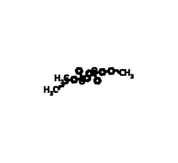 CCCCCCC(C)c1ccc(-c2oc3ccc4c(ccc5oc(-c6ccc(C7CCC(CCC)CC7)cc6)c(-c6ccccc6)c54)c3c2-c2ccccc2)cc1